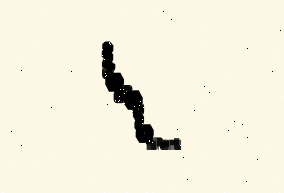 C=CCCCCOc1ccc(C(=O)Oc2ccc(OCCCC3CCC(CCCCC)CC3)cc2)cc1